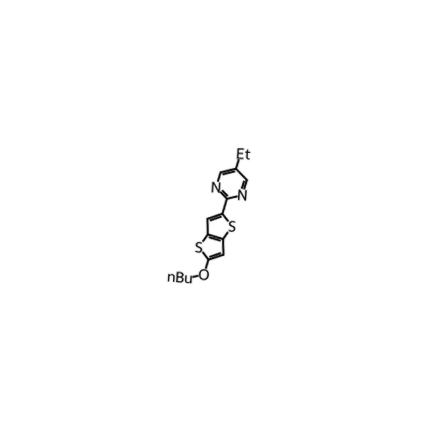 CCCCOc1cc2sc(-c3ncc(CC)cn3)cc2s1